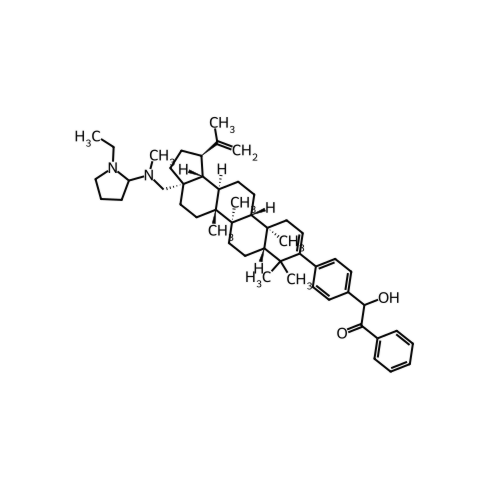 C=C(C)[C@@H]1CC[C@]2(CN(C)C3CCCN3CC)CC[C@]3(C)[C@H](CC[C@@H]4[C@@]5(C)CC=C(c6ccc(C(O)C(=O)c7ccccc7)cc6)C(C)(C)[C@@H]5CC[C@]43C)[C@@H]12